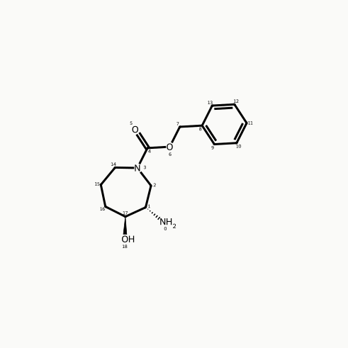 N[C@H]1CN(C(=O)OCc2ccccc2)CCC[C@@H]1O